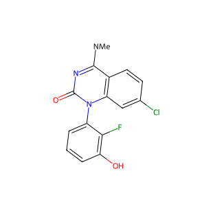 CNc1nc(=O)n(-c2cccc(O)c2F)c2cc(Cl)ccc12